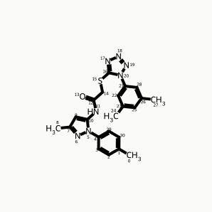 Cc1ccc(-n2nc(C)cc2NC(=O)CSc2nnnn2-c2cc(C)cc(C)c2)cc1